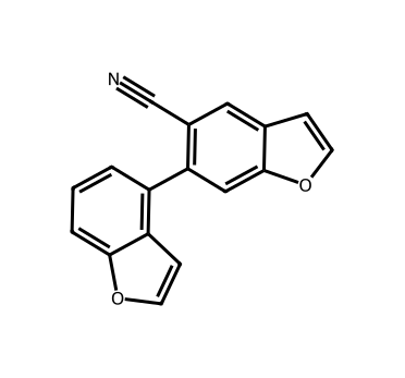 N#Cc1cc2ccoc2cc1-c1cccc2occc12